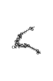 C=CC(=O)OCCCCCCCCCOc1cnc(-c2ccc(C(=O)Oc3ccc(C#N)cc3OC(=O)c3ccc(-c4ncc(OCCCCCCCCCOC(=O)C=C)cn4)cc3)cc2)nc1